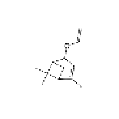 C=COC1C=C(C)C2CC1C2(C)C